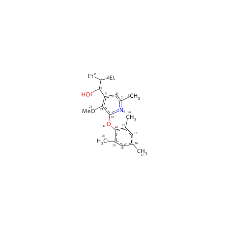 CCC(CC)C(O)c1cc(C)nc(Oc2c(C)cc(C)cc2C)c1OC